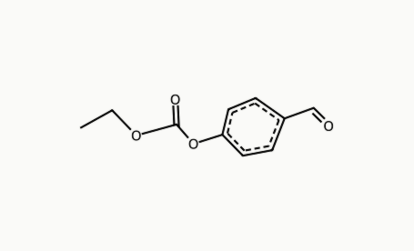 CCOC(=O)Oc1ccc(C=O)cc1